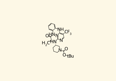 C=CC(=O)Nc1ccccc1Nc1nc(N[C@H]2CCCN(C(=O)OC(C)(C)C)C2)ncc1C(F)(F)F